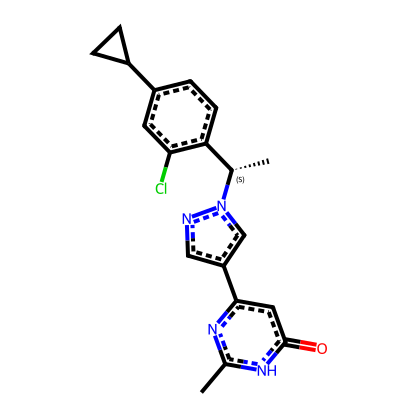 Cc1nc(-c2cnn([C@@H](C)c3ccc(C4CC4)cc3Cl)c2)cc(=O)[nH]1